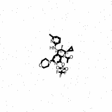 CC(=O)N1c2c(cc(N3CCOCC3)nc2OS(=O)(=O)C(F)(F)F)[C@H](Nc2cccc(C)n2)[C@@H](C)[C@@H]1C1CC1